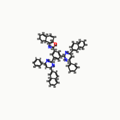 c1ccc(-c2cc(-c3ccc4ccccc4c3)nc(-c3cc(-c4nc(-c5ccccc5)cc(-c5ccc6ccccc6c5)n4)cc(-c4nc5c(ccc6ccccc65)o4)c3)n2)cc1